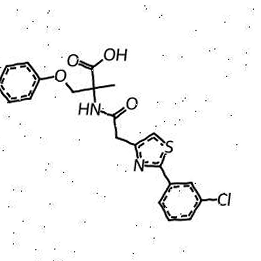 CC(COc1ccccc1)(NC(=O)Cc1csc(-c2cccc(Cl)c2)n1)C(=O)O